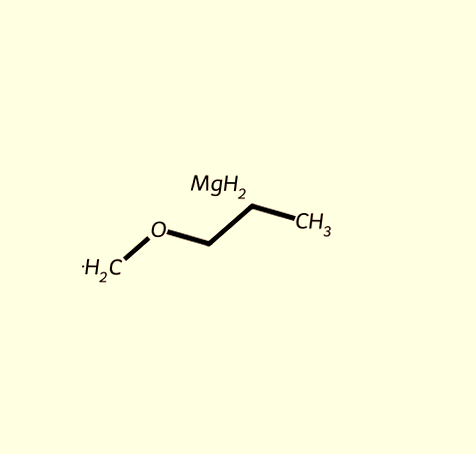 [CH2]OCCC.[MgH2]